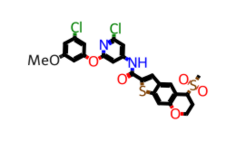 COc1cc(Cl)cc(Oc2cc(NC(=O)c3cc4cc5c(cc4s3)OCCC5S(C)(=O)=O)cc(Cl)n2)c1